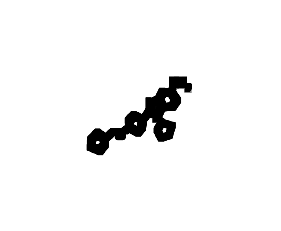 Nc1ccc2c(c1)nc(-c1ccc(OCc3ccccc3)cc1)n2C1CCCC1